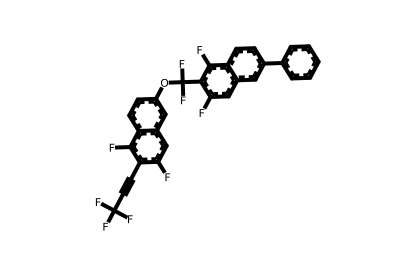 Fc1cc2cc(OC(F)(F)c3c(F)cc4cc(-c5ccccc5)ccc4c3F)ccc2c(F)c1C#CC(F)(F)F